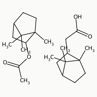 CC(=O)OC1CC2CCC1(C)C2(C)C.CC1(C)C2CCC1(C)C(CC(=O)O)C2